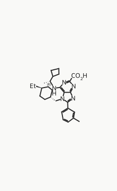 CC[C@H]1CC[C@H](Cn2c(-c3cccc(C)c3)nc3nc(C(=O)O)nc(N[C@H](C)C4CCC4)c32)CC1